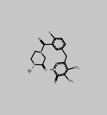 CC[C@@H](C)N1CCN(C(=O)c2cc(Cc3n[nH]c(=O)c(C)c3C)ccc2F)CC1=O